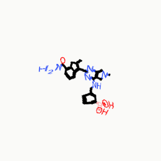 CC1Cc2c(C(N)=O)cccc2C1c1nc2c(c(NCc3cccc(B(O)O)c3)n1)CN(C)C2